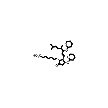 CC(C)=CCC(C)[C@@H](/C=C/[C@H]1[C@H](OC2CCCCO2)CC(=O)[C@@H]1CCCCCCC(=O)O)OC1CCCCO1